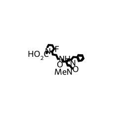 CNC(=O)c1cc(C(=O)NCCCC2C(F)CCCN2C(=O)O)cc(Cc2ccccc2)n1